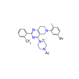 CC(=O)N1CCN(c2nc(-c3ccccc3C(F)(F)F)nc3c2CN(c2cc(C(C)C)ccc2C)CC3)[C@H](C)C1